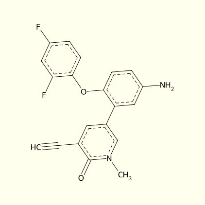 C#Cc1cc(-c2cc(N)ccc2Oc2ccc(F)cc2F)cn(C)c1=O